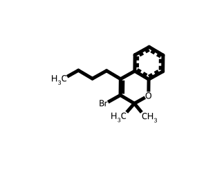 CCCCC1=C(Br)C(C)(C)Oc2ccccc21